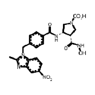 Cc1nc2cc([N+](=O)[O-])ccc2n1Cc1ccc(C(=O)N[C@@H]2CN(C(=O)O)C[C@@H]2C(=O)NO)cc1